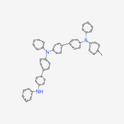 Cc1ccc(N(c2ccccc2)c2ccc(-c3ccc(N(c4ccccc4)c4ccc(-c5ccc(Nc6ccccc6)cc5)cc4)cc3)cc2)cc1